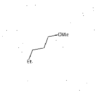 [CH2-][CH+]CCC[OH+][CH2-]